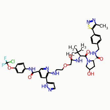 Cc1nnsc1-c1ccc(CNC(=O)[C@@H]2C[C@@H](O)CN2C(=O)[C@@H](NC(=O)COCCNc2ncc(C(=O)Nc3ccc(OC(F)(F)Cl)cc3)cc2-c2ccn[nH]2)C(C)(C)C)cc1